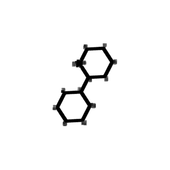 C1CCC(C2CCCC[N+]2)CC1